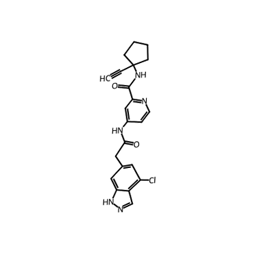 C#CC1(NC(=O)c2cc(NC(=O)Cc3cc(Cl)c4cn[nH]c4c3)ccn2)CCCC1